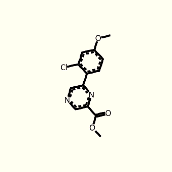 COC(=O)c1cncc(-c2ccc(OC)cc2Cl)n1